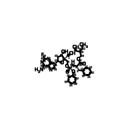 C#C[C@]1(COP(=O)(N[C@@H](Cc2ccccc2)C(=O)OCC(CC)CC)Oc2ccccc2)O[C@@H](n2cnc3c(N)nc(F)nc32)C[C@@H]1O